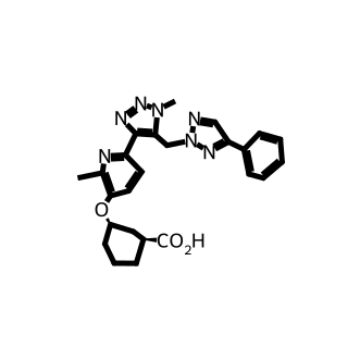 Cc1nc(-c2nnn(C)c2Cn2ncc(-c3ccccc3)n2)ccc1O[C@H]1CCC[C@H](C(=O)O)C1